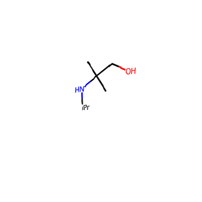 [CH2]C(C)NC(C)(C)CO